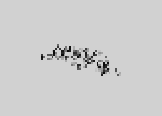 C=C1CC[C@H](O)C/C1=C/C=C1\CCC[C@]2(C)C(C(C)C/C=C/S(C)(=O)=O)=CC[C@@H]12